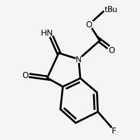 CC(C)(C)OC(=O)N1C(=N)C(=O)c2ccc(F)cc21